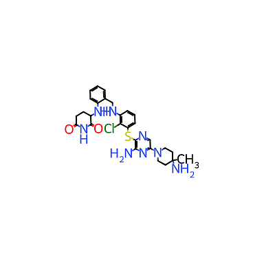 CC1(N)CCN(c2cnc(Sc3cccc(NCc4ccccc4NC4CCC(=O)NC4=O)c3Cl)c(N)n2)CC1